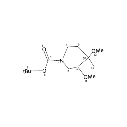 COC1CN(C(=O)OC(C)(C)C)CCC1(C)OC